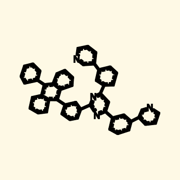 c1ccc(-c2c3ccccc3c(-c3cccc(-c4nc(-c5cccc(-c6cccnc6)c5)cc(-c5cccc(-c6cccnc6)c5)n4)c3)c3ccccc23)cc1